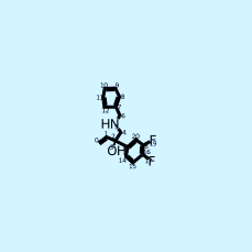 C=C[C@](O)(CNCc1ccccc1)c1ccc(F)c(F)c1